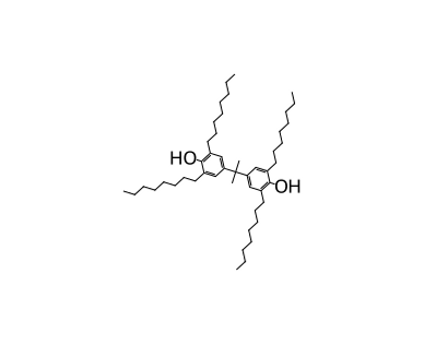 CCCCCCCCc1cc(C(C)(C)c2cc(CCCCCCCC)c(O)c(CCCCCCCC)c2)cc(CCCCCCCC)c1O